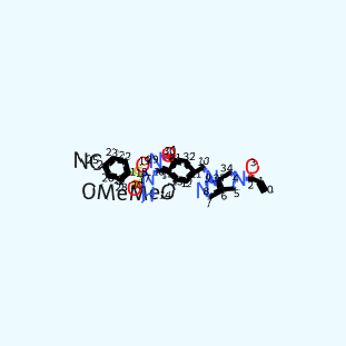 C#CC(=O)N1Cc2cnn(Cc3cc(OC)c4c(NS(=O)(=O)c5ccc(C#N)cc5OC)noc4c3)c2C1